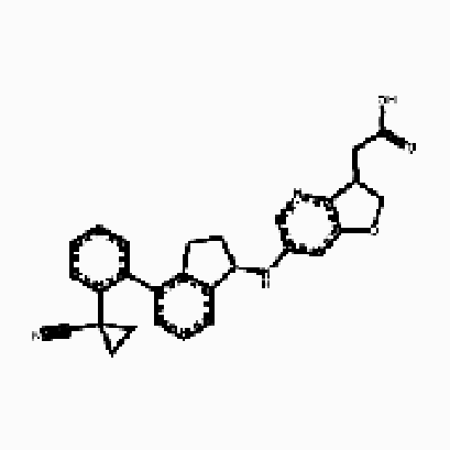 N#CC1(c2ccccc2-c2cccc3c2CC[C@H]3Nc2cnc3c(c2)OCC3CC(=O)O)CC1